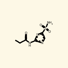 CCC(=O)Nc1ncc(S(N)(=O)=O)s1